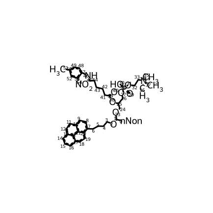 CCCCCCCCCC(OCCCCc1ccc2ccc3cccc4ccc1c2c34)OCC(COP(=O)(O)OCC[N+](C)(C)C)OC(=O)CCCCCNc1ccc(C)cc1[N+](=O)[O-]